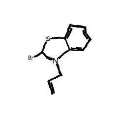 C=CCN1c2ccccc2SC1Br